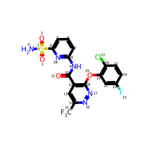 NS(=O)(=O)c1cccc(NC(=O)c2cc(C(F)(F)F)nnc2Oc2cc(F)ccc2Cl)n1